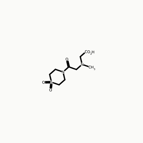 CN(CC(=O)O)CC(=O)N1CCS(=O)(=O)CC1